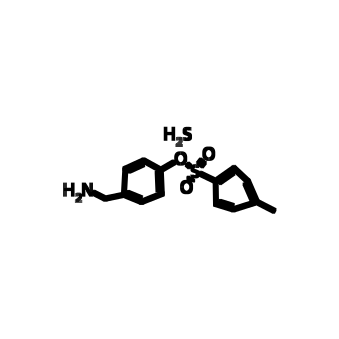 Cc1ccc(S(=O)(=O)Oc2ccc(CN)cc2)cc1.S